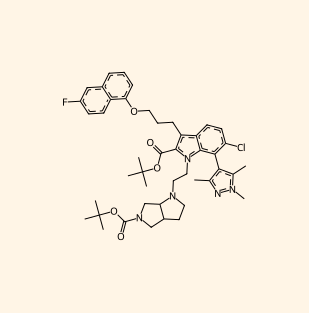 Cc1nn(C)c(C)c1-c1c(Cl)ccc2c(CCCOc3cccc4cc(F)ccc34)c(C(=O)OC(C)(C)C)n(CCN3CCC4CN(C(=O)OC(C)(C)C)CC43)c12